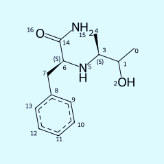 CC(O)[C@H](C)N[C@@H](Cc1ccccc1)C(N)=O